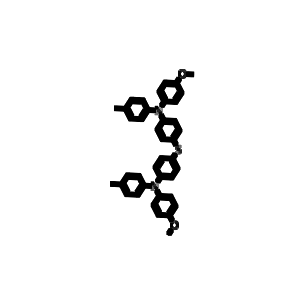 COc1ccc(N(c2ccc(C)cc2)c2ccc(Sc3ccc(N(c4ccc(C)cc4)c4ccc(OC)cc4)cc3)cc2)cc1